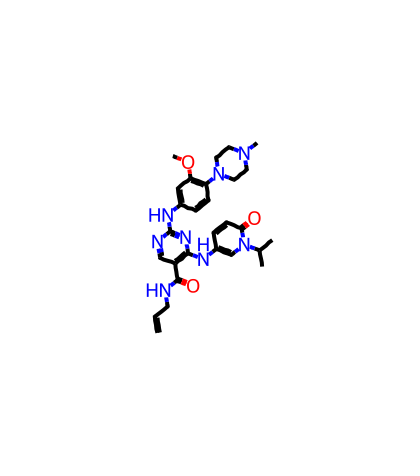 C=CCNC(=O)c1cnc(Nc2ccc(N3CCN(C)CC3)c(OC)c2)nc1Nc1ccc(=O)n(C(C)C)c1